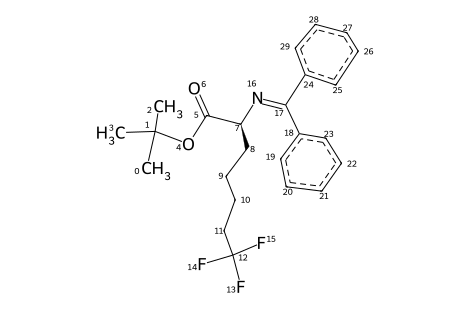 CC(C)(C)OC(=O)[C@H](CCCCC(F)(F)F)N=C(c1ccccc1)c1ccccc1